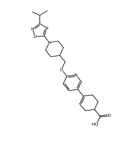 CC(C)c1noc(N2CCC(COc3ccc(C4=CCC(C(=O)O)CC4)cn3)CC2)n1